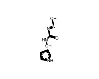 O=C(N=NO)NO.c1cc[nH]c1